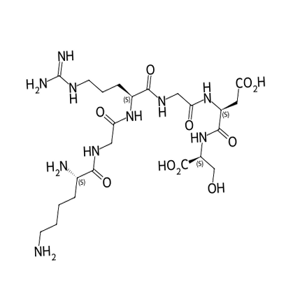 N=C(N)NCCC[C@H](NC(=O)CNC(=O)[C@@H](N)CCCCN)C(=O)NCC(=O)N[C@@H](CC(=O)O)C(=O)N[C@@H](CO)C(=O)O